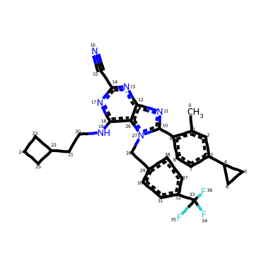 Cc1cc(C2CC2)ccc1-c1nc2nc(C#N)nc(NCCC3CCC3)c2n1Cc1ccc(C(F)(F)F)cc1